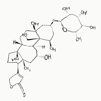 C[C@@H]1O[C@@H](O[C@H]2C[C@@H](O)[C@]3(CO)[C@H]4[C@H](O)C[C@]5(C)[C@@H](C6=CC(=O)OC6)CC[C@]5(O)[C@@H]4CC[C@]3(O)C2)[C@H](O)[C@H](O)C1O